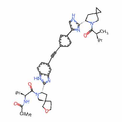 COC(=O)N[C@H](C(=O)N1C[C@]2(CCOC2)C[C@H]1c1nc2cc(C#Cc3ccc(-c4c[nH]c([C@@H]5CC6(CC6)CN5C(=O)[C@@H](C)C(C)C)n4)cc3)ccc2[nH]1)C(C)C